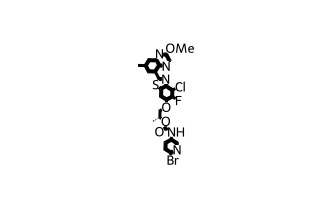 COc1cnc2c(-c3nc4c(Cl)c(F)c(OC[C@@H](C)OC(=O)Nc5ccc(Br)nc5)cc4s3)cc(C)cc2n1